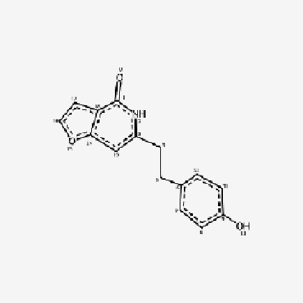 O=c1[nH]c(CCc2ccc(O)cc2)cc2occc12